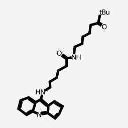 CC(C)(C)C(=O)CCCCCNC(=O)CCCCCNc1c2ccccc2nc2ccccc12